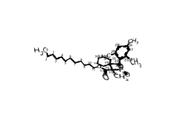 CCCCCCCCCCCCOC(=O)C(C)(P=O)C1(C(=O)c2c(C)cc(C)cc2C)CCCCC1